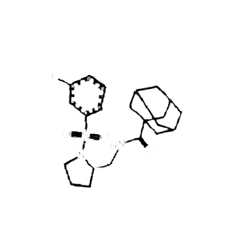 O=C(NC[C@H]1CCCN1S(=O)(=O)c1cccc(F)c1)C12CC3CC(CC(C3)C1)C2